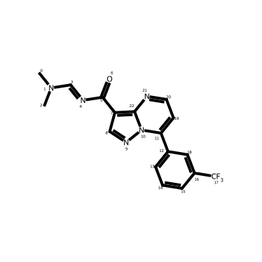 CN(C)C=NC(=O)c1cnn2c(-c3cccc(C(F)(F)F)c3)ccnc12